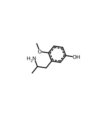 COc1ccc(O)cc1CC(C)N